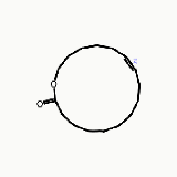 O=C1CCCCCCCC/C=C\CCCCCO1